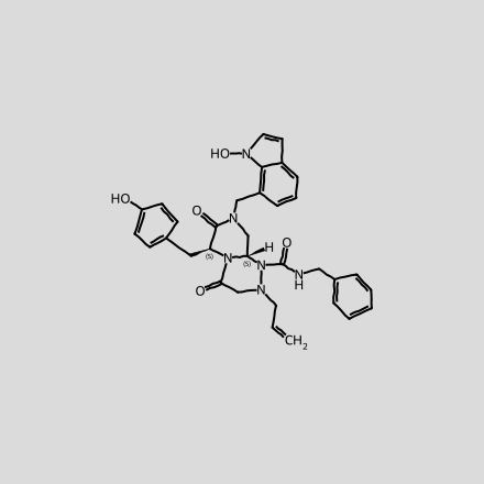 C=CCN1CC(=O)N2[C@@H](Cc3ccc(O)cc3)C(=O)N(Cc3cccc4ccn(O)c34)C[C@@H]2N1C(=O)NCc1ccccc1